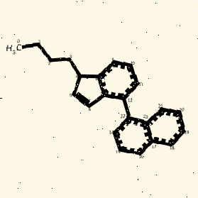 CCCC[C]1C=Cc2c1cccc2-c1cccc2ccccc12